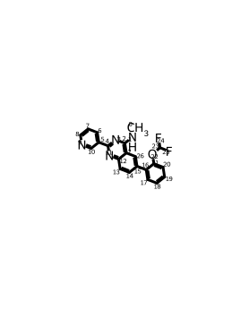 CNc1nc(-c2cccnc2)nc2ccc(-c3ccccc3OC(F)F)cc12